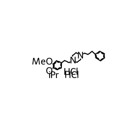 COc1cc(CCN2CCN(CCCc3ccccc3)CC2)ccc1OC(C)C.Cl.Cl